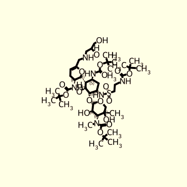 CN(C(=O)OC(C)(C)C)[C@@H]1[C@@H](O)[C@@H](O[C@H]2[C@H](NS(=O)(=O)CCNC(=O)OC(C)(C)C)C[C@H](NC(=O)OC(C)(C)C)C([C@H]3OC(CNCC(O)CO)=CC[C@H]3NC(=O)OC(C)(C)C)[C@@H]2O)OC[C@]1(C)O